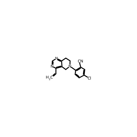 C=Cc1ncnc2c1CN(c1ccc(Cl)cc1C#N)CC2